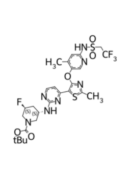 Cc1nc(Oc2cnc(NS(=O)(=O)CC(F)(F)F)cc2C)c(-c2ccnc(N[C@H]3C[C@H](F)CN(C(=O)OC(C)(C)C)C3)n2)s1